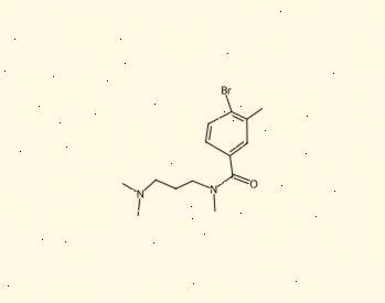 Cc1cc(C(=O)N(C)CCCN(C)C)ccc1Br